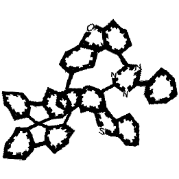 c1ccc(-c2nc(-c3cccc4oc5ccc(-c6ccc(-c7cccc8c7C7(c9ccccc9-c9ccccc97)c7ccccc7-8)cc6)cc5c34)nc(-c3cccc4sc5ccccc5c34)n2)cc1